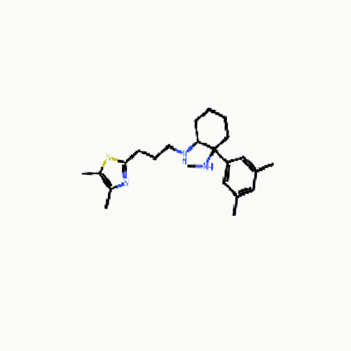 CNC1(c2cc(C)cc(C)c2)CCCCC1NCCCc1nc(C)c(C)s1